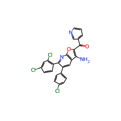 Nc1c(C(=O)c2cccnc2)oc2nc(-c3ccc(Cl)cc3Cl)c(-c3ccc(Cl)cc3)cc12